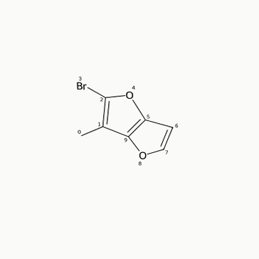 Cc1c(Br)oc2ccoc12